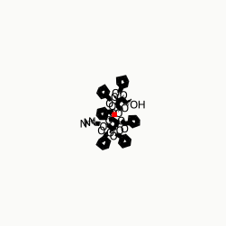 [N-]=[N+]=NCCOC1O[C@H](CO[C@@H]2O[C@H](CO)[C@@H](OC(=O)c3ccccc3)[C@H](OC(=O)c3ccccc3)C2OC(=O)c2ccccc2)[C@@H](OC(=O)c2ccccc2)C(OC(=O)c2ccccc2)[C@H]1OC(=O)c1ccccc1